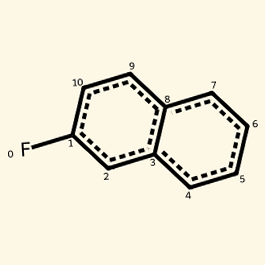 Fc1[c]c2ccccc2cc1